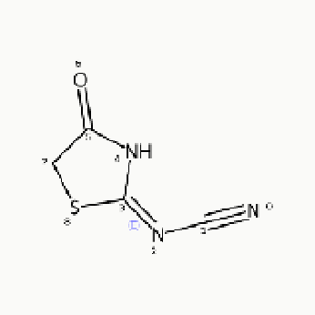 N#C/N=C1\NC(=O)CS1